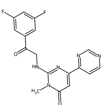 Cn1c(NCC(=O)c2cc(F)cc(F)c2)nc(-c2ccncn2)cc1=O